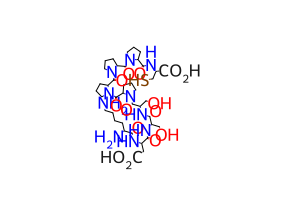 NCCCCC(N)C(=O)NC(CC(=O)O)C(=O)NC(CO)C(=O)NC(CO)C(=O)N1CCCC1C(=O)N1CCCC1C(=O)N1CCCC1C(=O)N1CCCC1C(=O)NC(CS)C(=O)O